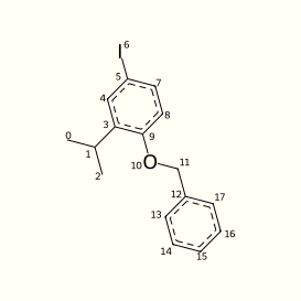 CC(C)c1cc(I)ccc1OCc1ccccc1